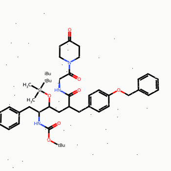 CC[C@H](C)[C@H](NC(=O)C(Cc1ccc(OCc2ccccc2)cc1)CC(O[Si](C)(C)C(C)(C)C)C(Cc1ccccc1)NC(=O)OC(C)(C)C)C(=O)N1CCC(=O)CC1